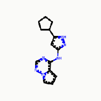 c1cc2c(Nc3cc(C4CCCC4)[nH]n3)ncnn2c1